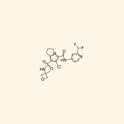 CC1(NS(=O)(=O)c2c(Cl)c(C(=O)Nc3ccnc(C(F)F)c3)n3c2CCC3)COC1